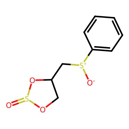 O=S1OCC(C[S+]([O-])c2ccccc2)O1